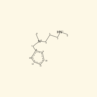 CNCCCN(C)Cc1ccccc1